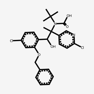 CC(C)(C)N(C(=O)O)C(C)(c1ccc(Cl)nc1)C(O)c1ccc(Cl)cc1OCc1ccccc1